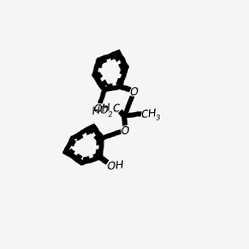 CC(Oc1ccccc1O)(Oc1ccccc1O)C(=O)O